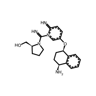 N=C(N1CCC[C@H]1CO)n1cc(O[C@@H]2CC[C@H](N)c3ccccc32)ccc1=N